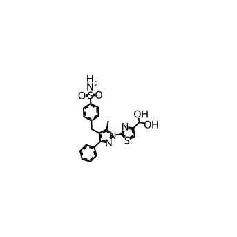 Cc1c(Cc2ccc(S(N)(=O)=O)cc2)c(-c2ccccc2)nn1-c1nc(C(O)O)cs1